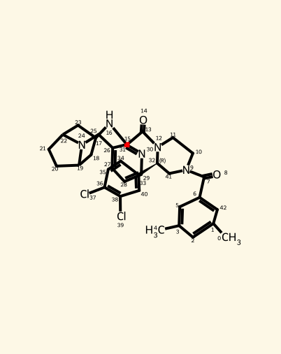 Cc1cc(C)cc(C(=O)N2CCN(C(=O)CNC3CC4CCC(C3)N4Cc3cccnc3)[C@H](c3ccc(Cl)c(Cl)c3)C2)c1